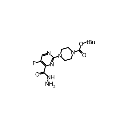 CC(C)(C)OC(=O)N1CCN(c2ncc(F)c(C(=O)NN)n2)CC1